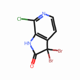 O=C1Nc2c(ccnc2Cl)C1(Br)Br